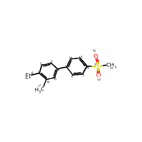 CCc1ccc(-c2ccc(S(C)(=O)=O)cc2)cc1C